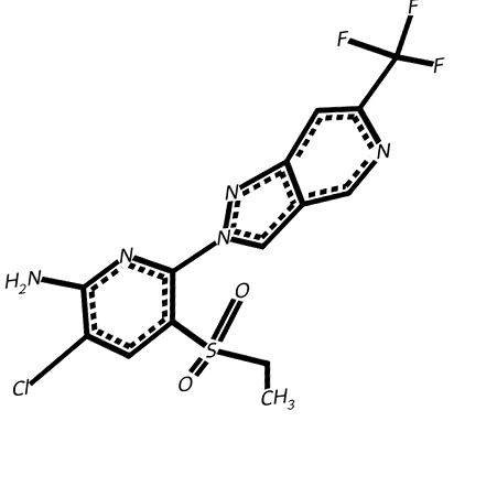 CCS(=O)(=O)c1cc(Cl)c(N)nc1-n1cc2cnc(C(F)(F)F)cc2n1